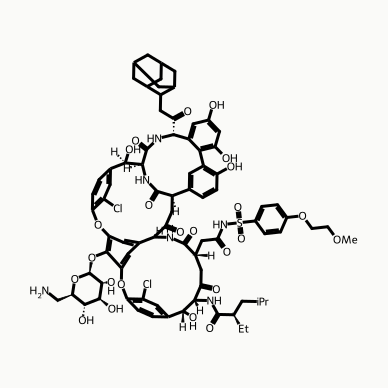 CC[C@H](CC(C)C)C(=O)N[C@H]1C(=O)C[C@@H](CC(=O)NS(=O)(=O)c2ccc(OCCOC)cc2)C(=O)N[C@H]2C(=O)C[C@H]3C(=O)N[C@H](C(=O)N[C@H](C(=O)CC4C5CC6CC(C5)CC4C6)c4cc(O)cc(O)c4-c4cc3ccc4O)[C@H](O)c3ccc(c(Cl)c3)Oc3cc2cc(c3O[C@@H]2O[C@H](CN)[C@@H](O)[C@H](O)[C@H]2O)Oc2ccc(cc2Cl)[C@H]1O